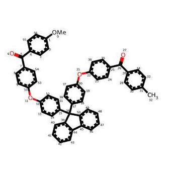 COc1ccc(C(=O)c2ccc(Oc3ccc(C4(c5ccc(Oc6ccc(C(=O)c7ccc(C)cc7)cc6)cc5)c5ccccc5-c5ccccc54)cc3)cc2)cc1